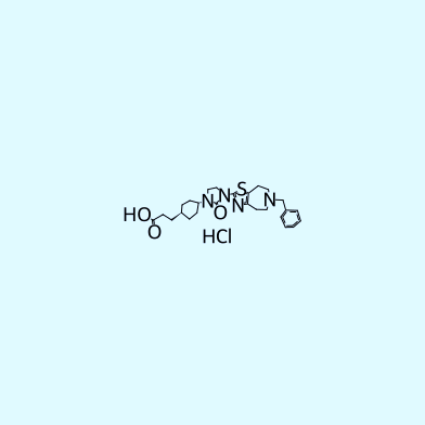 Cl.O=C(O)CC[C@H]1CC[C@H](N2CCN(c3nc4c(s3)CCN(Cc3ccccc3)CC4)C2=O)CC1